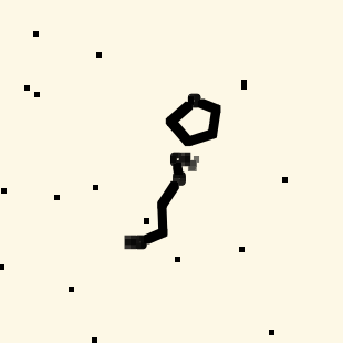 C1CCOC1.[CH2]OCCO